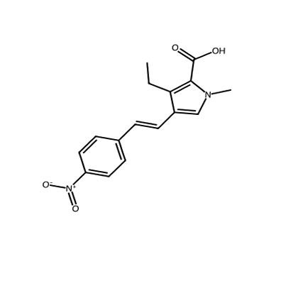 CCc1c(C=Cc2ccc([N+](=O)[O-])cc2)cn(C)c1C(=O)O